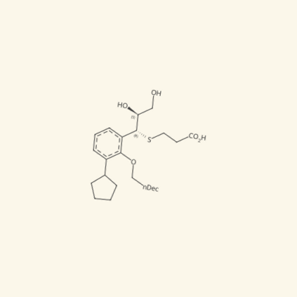 CCCCCCCCCCCOc1c(C2CCCC2)cccc1[C@@H](SCCC(=O)O)[C@@H](O)CO